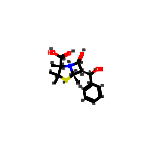 CC1(C)S[C@@H]2[C@@H](C(O)c3ccccc3)C(=O)N2[C@@]1(C)C(=O)O